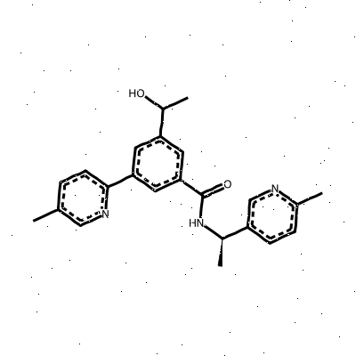 Cc1ccc(-c2cc(C(=O)N[C@H](C)c3ccc(C)nc3)cc(C(C)O)c2)nc1